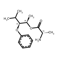 CC(C)[C@H](Oc1ccccc1)[C@@H](C)OC(=O)[C@H](C)N